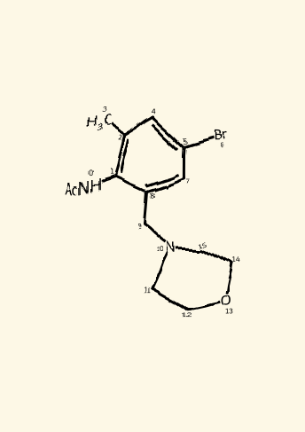 CC(=O)Nc1c(C)cc(Br)cc1CN1CCOCC1